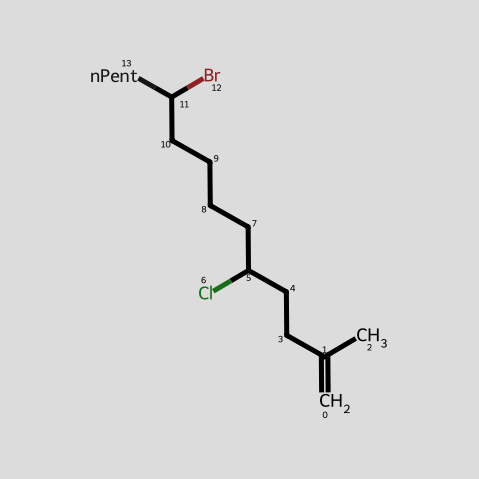 C=C(C)CCC(Cl)CCCCC(Br)CCCCC